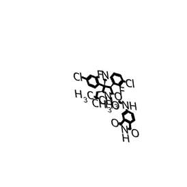 CC(C)(C)C[C@@H]1N[C@H](OC(=O)Nc2ccc3c(c2)C(=O)NC3=O)[C@H](c2cccc(Cl)c2F)[C@@]1(C#N)c1ccc(Cl)cc1F